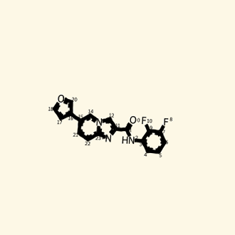 O=C(Nc1cccc(F)c1F)c1cn2cc(-c3ccoc3)ccc2n1